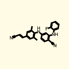 Cc1cc(C=CC#N)cc(C)c1Nc1ccc(C#N)c(Nc2ccccc2F)c1